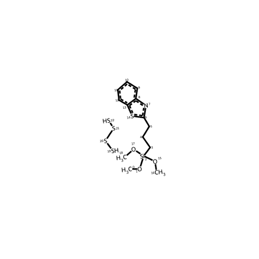 CO[Si](CCCc1nc2ccccc2s1)(OC)OC.SSSS